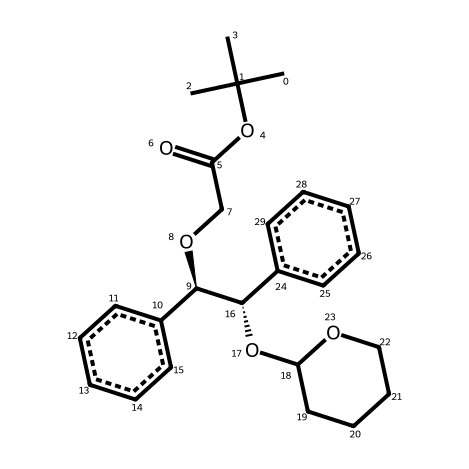 CC(C)(C)OC(=O)CO[C@H](c1ccccc1)[C@@H](OC1CCCCO1)c1ccccc1